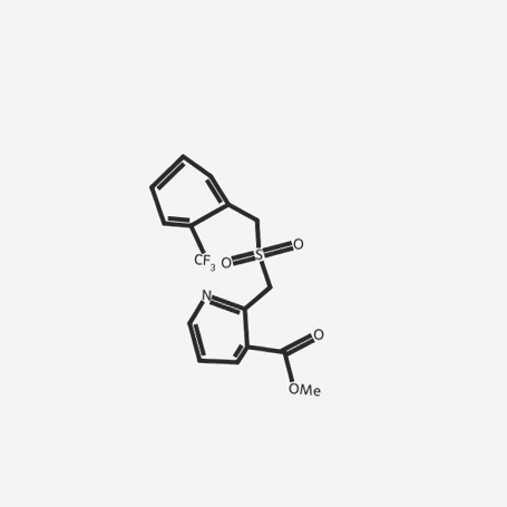 COC(=O)c1cccnc1CS(=O)(=O)Cc1ccccc1C(F)(F)F